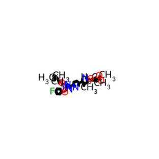 COC(=O)C(C)(C)COc1cc(C)c(-c2ccc(-c3nc(Oc4ccc(F)cc4)n(COCC[Si](C)(C)C)n3)nc2)cn1